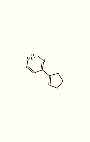 C/C=C\C(=N/C)C1=CCCC1